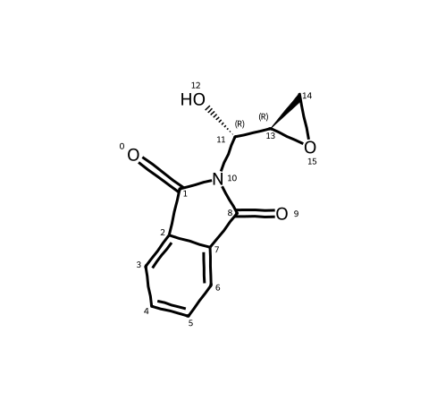 O=C1c2ccccc2C(=O)N1[C@H](O)[C@H]1CO1